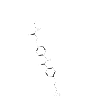 COCCOc1ccc(C(=O)Nc2ccc(OCC(=O)NCO)cc2)cc1